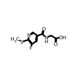 CSc1ncc(C(=O)NCC(=O)O)cc1F